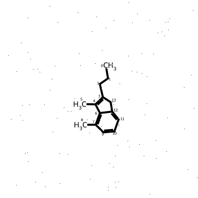 CCCC1=C(C)c2c(C)cccc2[CH]1